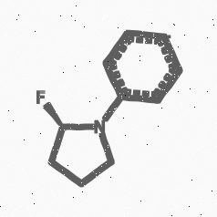 F[C@@H]1CCCN1c1cc[c]cc1